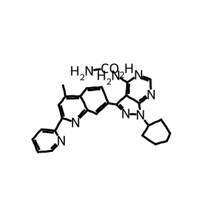 Cc1cc(-c2ccccn2)nc2cc(-c3nn(C4CCCCC4)c4ncnc(N)c34)ccc12.NC(=O)O